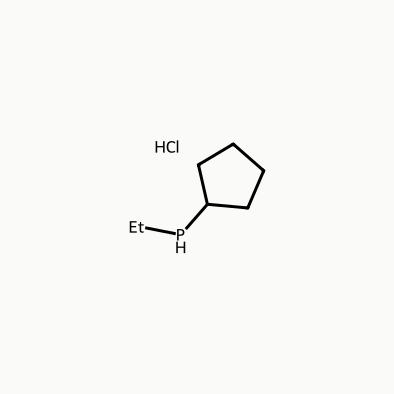 CCPC1CCCC1.Cl